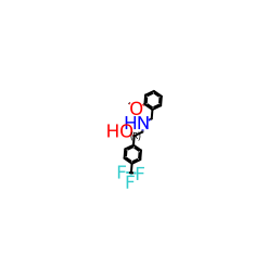 COc1ccccc1CNC[C@H](O)c1ccc(C(F)(F)F)cc1